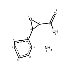 N.O=C(O)C1OC1c1ccccc1